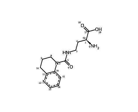 N[C@@H](CCNC(=O)N1CCCc2ncccc21)C(=O)O